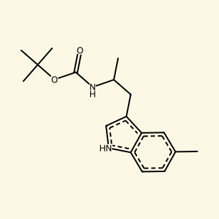 Cc1ccc2[nH]cc(CC(C)NC(=O)OC(C)(C)C)c2c1